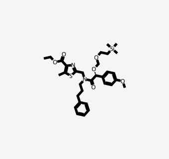 CCOC(=O)c1nc(CN(CCCc2ccccc2)C(=O)[C@H](OCOCC[Si](C)(C)C)c2ccc(OC)cc2)sc1C